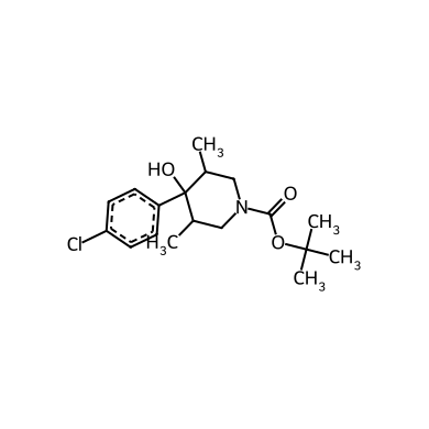 CC1CN(C(=O)OC(C)(C)C)CC(C)C1(O)c1ccc(Cl)cc1